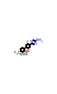 CN[S+]([O-])c1cc(C(F)(F)F)ccc1-c1ccc(-c2cnc(N)cn2)c(F)c1